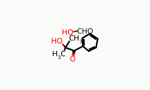 CC(C)(O)C(=O)c1ccccc1.O=CO